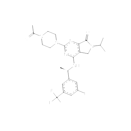 CC(=O)N1CCN(c2nc(N[C@H](C)c3cc(F)cc(C(F)(F)F)c3)c3c(n2)C(=O)N(C(C)C)C3)CC1